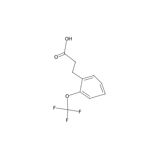 O=C(O)CCc1ccccc1OC(F)(F)F